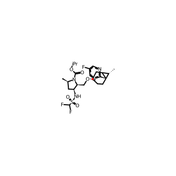 CC(C)OC(=O)N1[C@H](C)C[C@H](NS(=O)(=O)C(F)F)[C@@H]1CO[C@H]1CC[C@]2(c3ncc(F)cn3)C(C1)[C@@H]2C